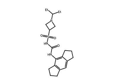 CCC(CC)N1CC(S(=O)(=O)NC(=O)Nc2c3c(cc4c2CCC4)CCC3)C1